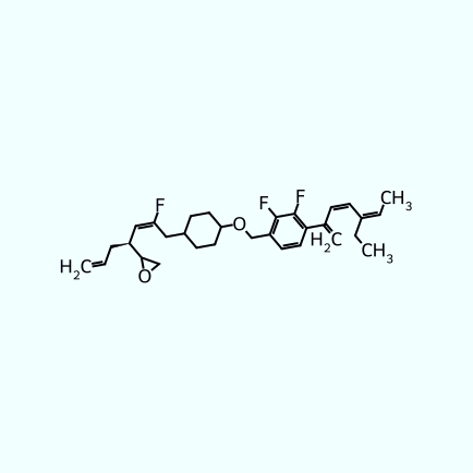 C=CC[C@@H](/C=C(/F)CC1CCC(OCc2ccc(C(=C)/C=C\C(=C/C)CC)c(F)c2F)CC1)C1CO1